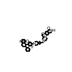 COc1cc(N2CCC3(CC2)CC(CN2CCN4c5cc6c(cc5OCC4C2)C(=O)NC6)C3)c(F)cc1C1c2ccccc2CCC1c1ccccc1